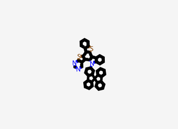 c1ccc2c(c1)-c1ccccc1C21c2ccccc2-c2ccc(-n3c4ccccc4c4c5sc6ccccc6c5c5sc6ncncc6c5c43)cc21